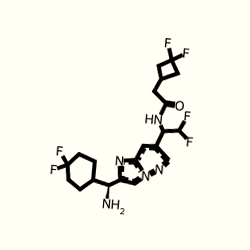 N[C@H](c1cn2ncc(C(NC(=O)CC3CC(F)(F)C3)C(F)F)cc2n1)C1CCC(F)(F)CC1